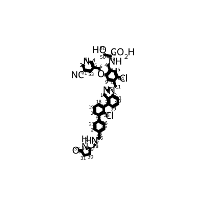 N#Cc1cncc(COc2cc(Cn3ncc4c(-c5cccc(-c6ccc(CNC[C@@H]7CCC(=O)N7)cc6)c5Cl)cccc43)c(Cl)cc2CN[C@@H](CO)C(=O)O)c1